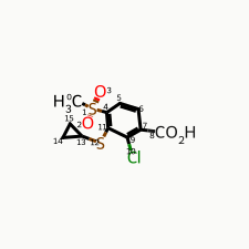 CS(=O)(=O)c1ccc(C(=O)O)c(Cl)c1SC1CC1